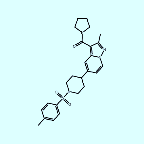 Cc1ccc(S(=O)(=O)N2CCC(c3ccn4nc(C)c(C(=O)N5CCCC5)c4c3)CC2)cc1